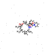 CC1CNC(C)(OC2(CN3CCCCC3)CCCCO2)CC(C)COC(=O)C(C)CC(C)CC(C)C1